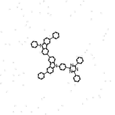 c1ccc(-c2ccc3c(c2)c2cc(-c4ccc5c(c4)c4cc(-c6ccccc6)ccc4n5-c4ccc(-c5nc(-c6ccccc6)nc(-c6ccccc6)n5)cc4)ccc2n3-c2ccccc2)cc1